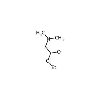 CCOC([O])CN(C)C